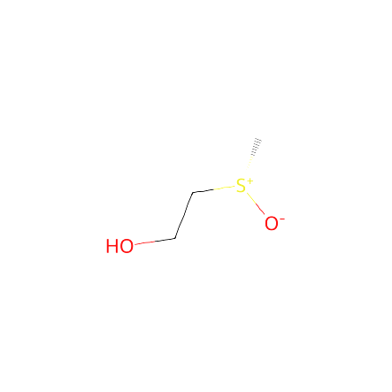 C[S@+]([O-])CCO